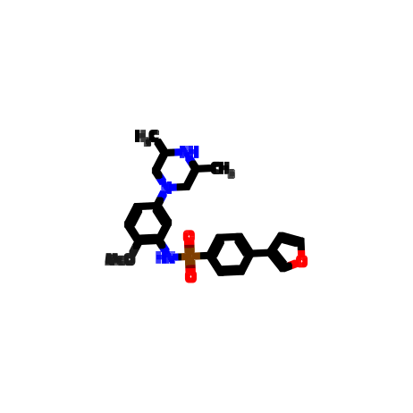 COc1ccc(N2CC(C)NC(C)C2)cc1NS(=O)(=O)c1ccc(-c2ccoc2)cc1